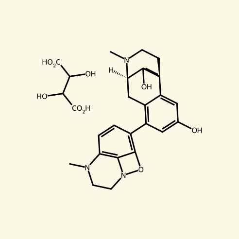 CN1CCn2oc3c(-c4cc(O)cc5c4C[C@H]4N(C)CC[C@@]56CCCCC46O)ccc1c32.O=C(O)C(O)C(O)C(=O)O